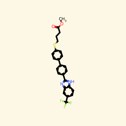 COC(=O)CCCSc1ccc(-c2ccc(-c3nc4cc(C(F)(F)F)ccc4[nH]3)cc2)cc1